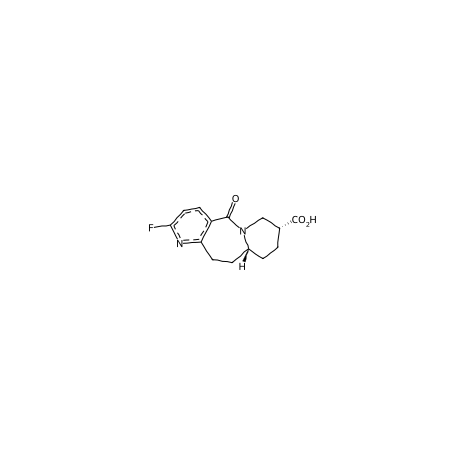 O=C(O)[C@@H]1CC[C@@H]2CCc3nc(F)ccc3C(=O)N2C1